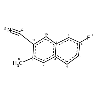 Cc1cc2ccc(F)cc2cc1C#N